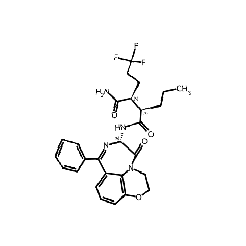 CCC[C@@H](C(=O)N[C@H]1N=C(c2ccccc2)c2cccc3c2N(CCO3)C1=O)[C@H](CCC(F)(F)F)C(N)=O